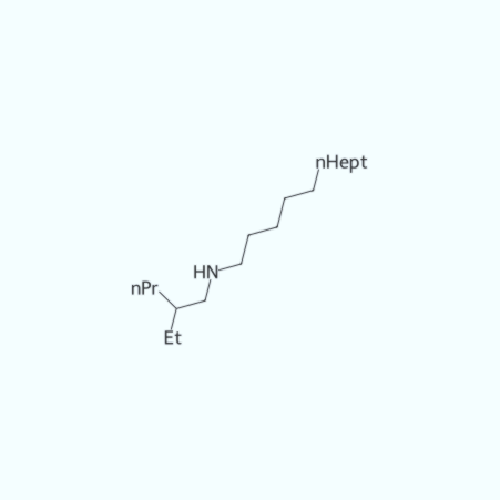 CCCCCCCCCCCCNCC(CC)CCC